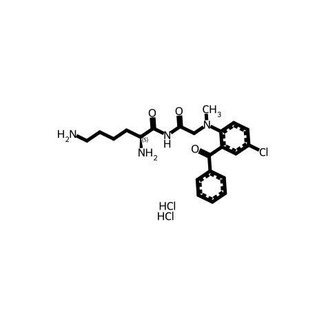 CN(CC(=O)NC(=O)[C@@H](N)CCCCN)c1ccc(Cl)cc1C(=O)c1ccccc1.Cl.Cl